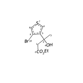 CCOC(=O)CC(C)(O)c1cscc1Br